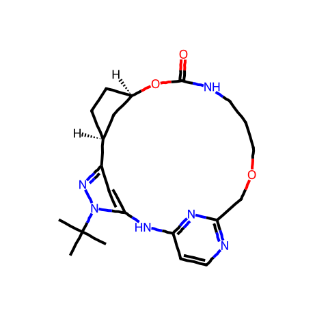 CC(C)(C)n1nc2cc1Nc1ccnc(n1)COCCCNC(=O)O[C@@H]1CC[C@H]2C1